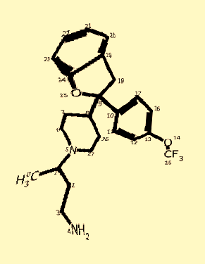 CC(CCN)N1CCC(C2(c3ccc(OC(F)(F)F)cc3)Cc3ccccc3O2)CC1